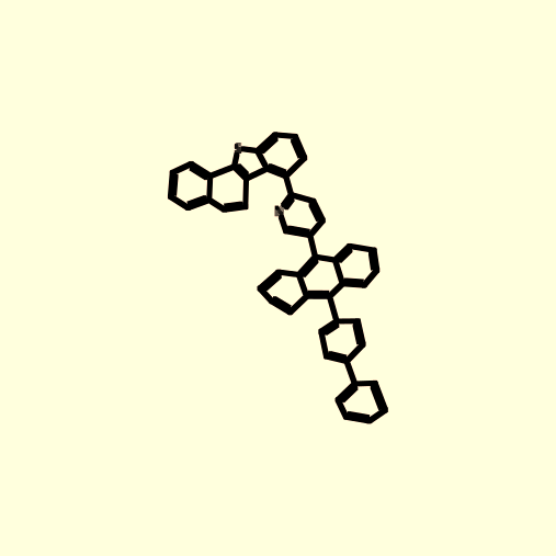 c1ccc(-c2ccc(-c3c4ccccc4c(-c4ccc(-c5cccc6sc7c8ccccc8ccc7c56)nc4)c4ccccc34)cc2)cc1